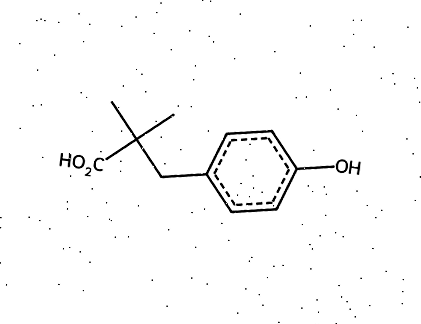 CC(C)(Cc1ccc(O)cc1)C(=O)O